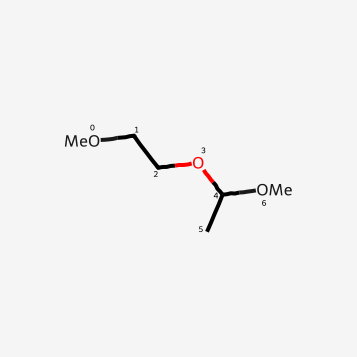 COCCOC(C)OC